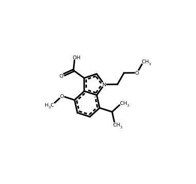 COCCn1cc(C(=O)O)c2c(OC)ccc(C(C)C)c21